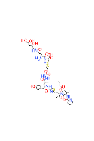 CCCC(=O)OCN(C(=O)[C@@H](NC(=O)[C@H]1CCCCN1C)C(C)CC)[C@H](CCc1nc(C(=O)N[C@@H](Cc2ccc(O)cc2)C[C@H](C)C(=O)NNC(=O)OCCSSC[C@@H](NC(=O)[C@@H](N)CCC(=O)NCC[C@@H](O)C[C@H](O)CO)C(=O)O)cs1)C(C)C